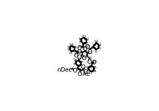 CCCCCCCCCCCOc1c(OC(C)=O)c(=O)oc2cc(O[C@@H]3O[C@H](COC(=O)c4ccccc4)[C@@H](OC(=O)c4ccccc4)[C@H](OC(=O)c4ccccc4)[C@H]3OC(=O)c3ccccc3)ccc12